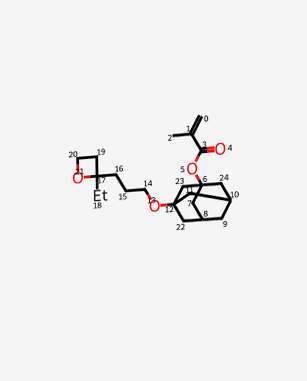 C=C(C)C(=O)OC12CC3CC(CC(OCCCC4(CC)CCO4)(C3)C1)C2